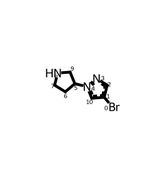 Brc1cnn(C2CCNC2)c1